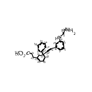 NN=CNc1cccc(C#CC2(c3ccccc3)C=CC=C(CCC(=O)O)C2)c1